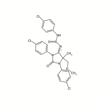 COCC1(C)/C(=N/C(=O)Nc2ccc(Cl)cc2)N(c2ccc(Cl)cc2)C(=O)N1c1ccc(Cl)cc1